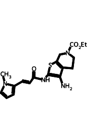 CCOC(=O)N1CCc2c(sc(NC(=O)/C=C/c3cccn3C)c2N)C1